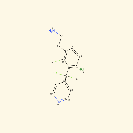 Cl.NCCc1cccc(C(F)(F)c2ccncc2)c1F